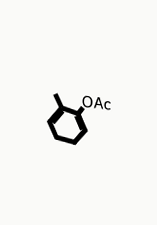 CC(=O)OC1=CCCC=C1C